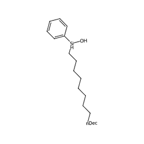 CCCCCCCCCCCCCCCCCC[SiH](O)c1ccccc1